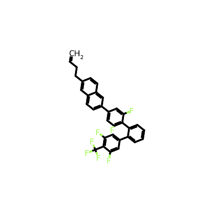 C=CCCc1ccc2cc(-c3cc(F)c(-c4ccccc4-c4cc(F)c(C(F)(F)F)c(F)c4)c(F)c3)ccc2c1